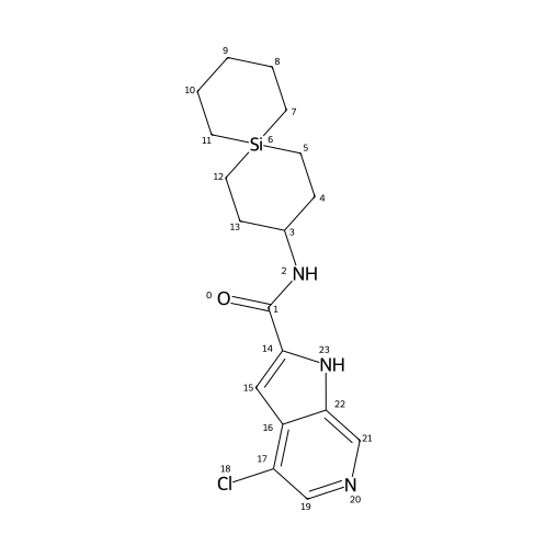 O=C(NC1CC[Si]2(CCCCC2)CC1)c1cc2c(Cl)cncc2[nH]1